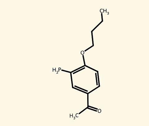 CCCCOc1ccc(C(C)=O)cc1P